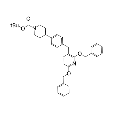 CC(C)(C)OC(=O)N1CCC(c2ccc(Cc3ccc(OCc4ccccc4)nc3OCc3ccccc3)cc2)CC1